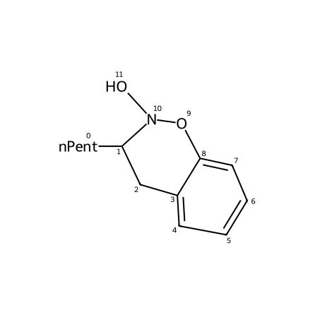 CCCCCC1Cc2ccccc2ON1O